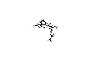 Cc1nc2c(s1)CCN(C(=O)c1ccc(COC(=O)C3CC3)c(C)c1)c1ccccc1-2